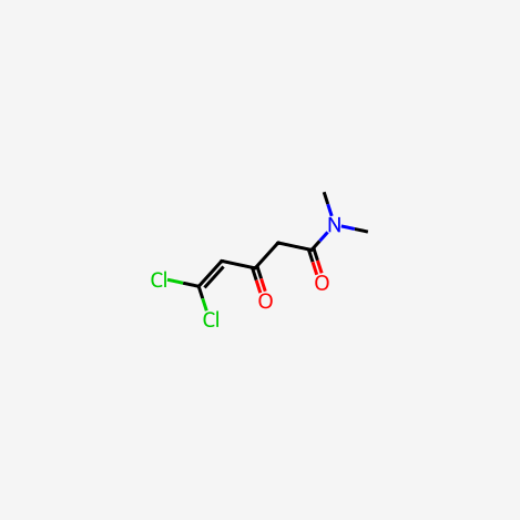 CN(C)C(=O)CC(=O)C=C(Cl)Cl